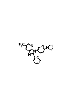 FC(F)(F)c1cnc2c(c1)nc(-c1ccccn1)n2-c1ccc(N2CCCC2)nc1